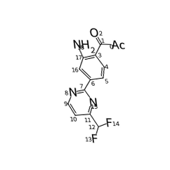 CC(=O)C(=O)c1ccc(-c2nccc(C(F)F)n2)cc1N